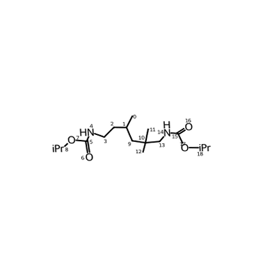 CC(CCNC(=O)OC(C)C)CC(C)(C)CNC(=O)OC(C)C